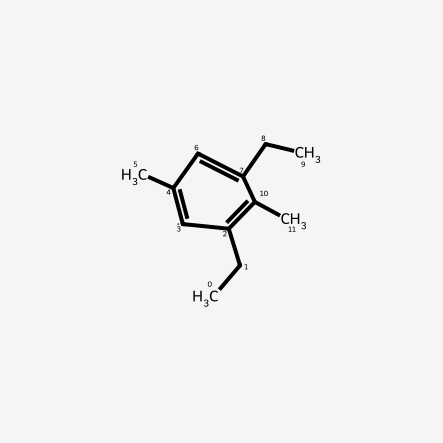 CCc1[c]c(C)cc(CC)c1C